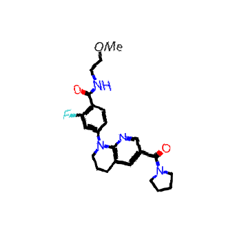 COCCNC(=O)c1ccc(N2CCCc3cc(C(=O)N4CCCC4)cnc32)cc1F